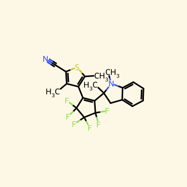 Cc1sc(C#N)c(C)c1C1=C(C2(C)Cc3ccccc3N2C)C(F)(F)C(F)(F)C1(F)F